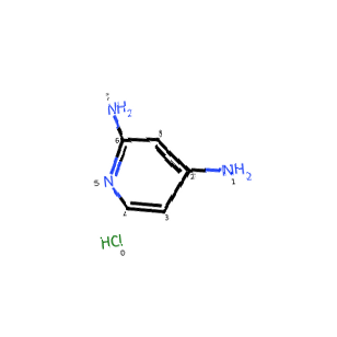 Cl.Nc1ccnc(N)c1